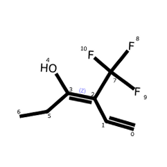 C=C/C(=C(/O)CC)C(F)(F)F